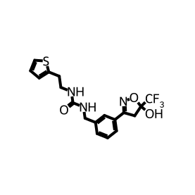 O=C(NCCc1cccs1)NCc1cccc(C2=NOC(O)(C(F)(F)F)C2)c1